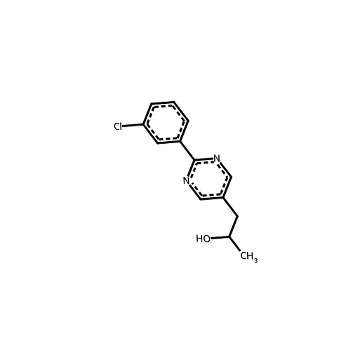 CC(O)Cc1cnc(-c2cccc(Cl)c2)nc1